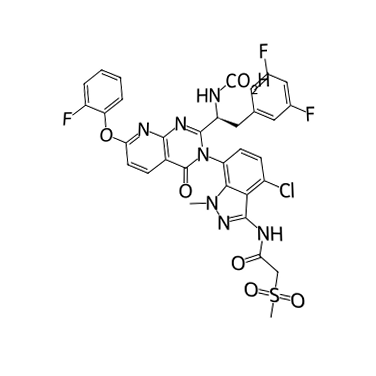 Cn1nc(NC(=O)CS(C)(=O)=O)c2c(Cl)ccc(-n3c([C@H](Cc4cc(F)cc(F)c4)NC(=O)O)nc4nc(Oc5ccccc5F)ccc4c3=O)c21